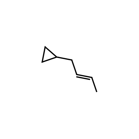 C/C=C/C[C]1CC1